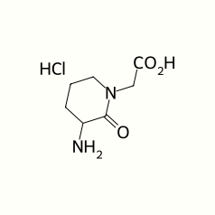 Cl.NC1CCCN(CC(=O)O)C1=O